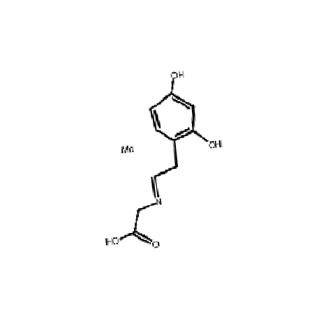 O=C(O)CN=CCc1ccc(O)cc1O.[Mo]